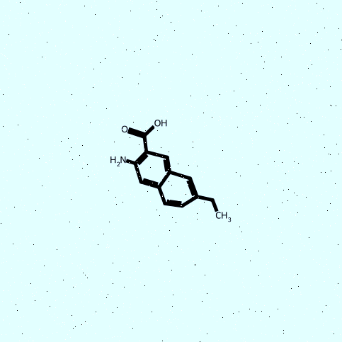 CCc1ccc2cc(N)c(C(=O)O)cc2c1